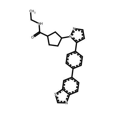 CCNC(=O)C1CCC(n2nccc2-c2ccc(-c3ccc4ncsc4c3)cc2)C1